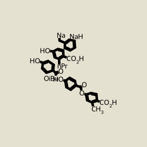 CC(C)COC(=O)c1ccc(O)cc1.CCCc1cc(O)ccc1C(=O)O.Cc1cc(OC(=O)c2ccc(O)cc2)ccc1C(=O)O.[NaH].[Na][CH2]c1ccccc1